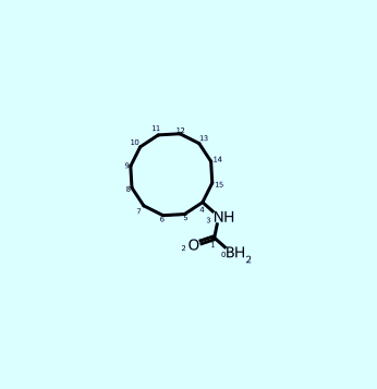 BC(=O)NC1CCCCCCCCCCC1